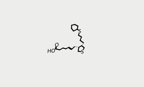 O=C(O)CCCC=CC[C@H]1CSC[C@H]1CCCCSC1CCCCC1